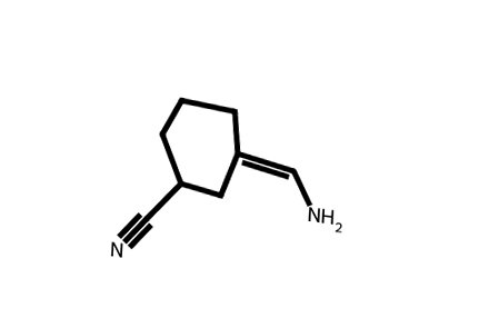 N#CC1CCCC(=CN)C1